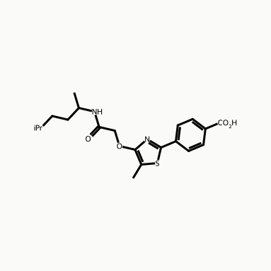 Cc1sc(-c2ccc(C(=O)O)cc2)nc1OCC(=O)NC(C)CCC(C)C